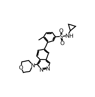 Cc1ccc(S(=O)(=O)NC2CC2)cc1-c1ccc2c(N3CCOCC3)nncc2c1